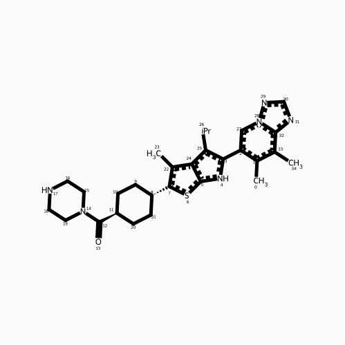 Cc1c(-c2[nH]c3sc([C@H]4CC[C@H](C(=O)N5CCNCC5)CC4)c(C)c3c2C(C)C)cn2ncnc2c1C